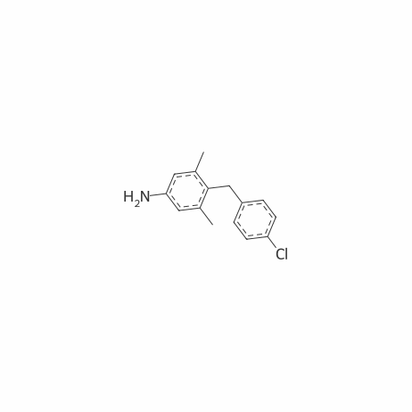 Cc1cc(N)cc(C)c1Cc1ccc(Cl)cc1